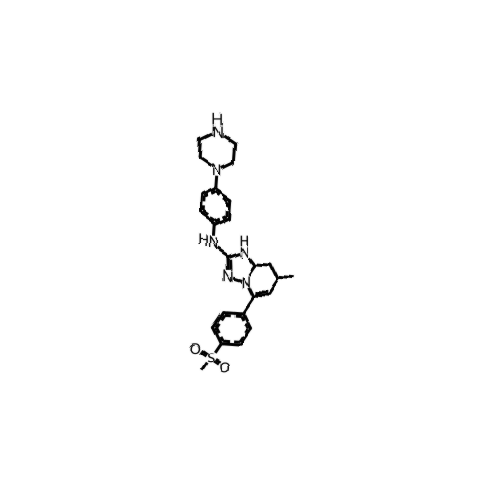 CC1C=C(c2ccc(S(C)(=O)=O)cc2)N2N=C(Nc3ccc(N4CCNCC4)cc3)NC2C1